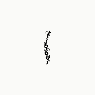 C=C(C)C(=O)OCCCCCCOc1ccc(C(=O)Oc2ccc(-c3ccc(OCCC)cn3)cc2)cc1